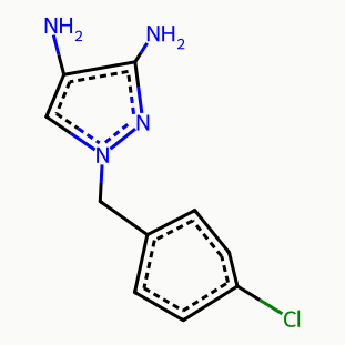 Nc1cn(Cc2ccc(Cl)cc2)nc1N